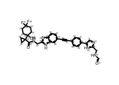 O=CNCc1ncc(-c2ccc(C#Cc3ccc4nc(CNC(=O)C5(C6(O)CCC(F)(F)CC6)CC5)[nH]c4c3)cc2)[nH]1